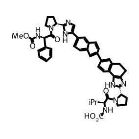 COC(=O)N[C@@H](C(=O)N1CCC[C@H]1c1ncc(-c2ccc3cc(-c4ccc5c(c4)CCc4nc([C@@H]6CCCN6C(=O)[C@@H](NC(=O)O)C(C)C)[nH]c4-5)ccc3c2)[nH]1)c1ccccc1